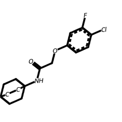 O=C(COc1ccc(Cl)c(F)c1)NC12CCC(CC1)CC2